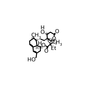 CCC(C)(C)C(=O)O[C@H]1CC(CO)=CC2=CC[C@H](C)[C@H](CC[C@@H]3COC(=O)C[C@H]3O)[C@H]21